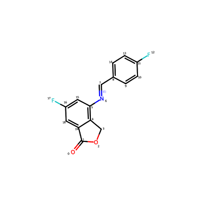 O=C1OCc2c(/N=C/c3ccc(F)cc3)cc(F)cc21